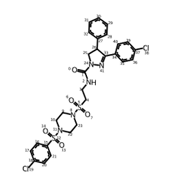 O=C(NCCS(=O)(=O)N1CCN(S(=O)(=O)c2ccc(Cl)cc2)CC1)N1CC(c2ccccc2)C(c2ccc(Cl)cc2)=N1